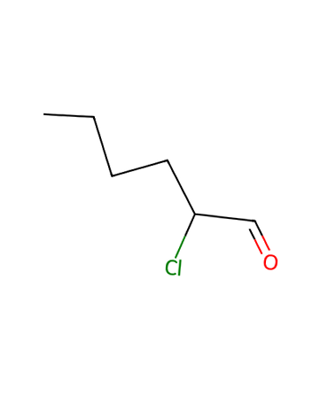 CCCCC(Cl)C=O